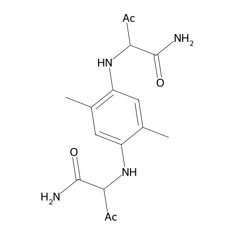 CC(=O)C(Nc1cc(C)c(NC(C(C)=O)C(N)=O)cc1C)C(N)=O